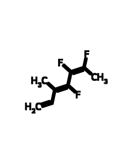 C=C/C(C)=C(F)/C(F)=C(\C)F